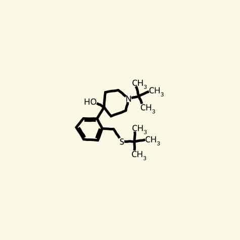 CC(C)(C)SCc1ccccc1C1(O)CCN(C(C)(C)C)CC1